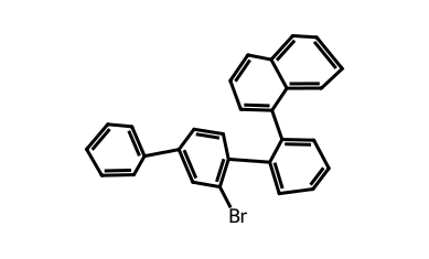 Brc1cc(-c2ccccc2)ccc1-c1ccccc1-c1cccc2ccccc12